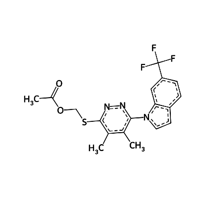 CC(=O)OCSc1nnc(-n2ccc3ccc(C(F)(F)F)cc32)c(C)c1C